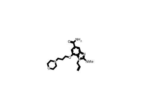 C=CCn1c(NC)nc2cc(C(N)=O)cc(OCCCN3CCOCC3)c21